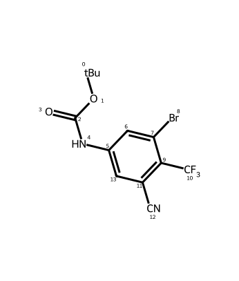 CC(C)(C)OC(=O)Nc1cc(Br)c(C(F)(F)F)c(C#N)c1